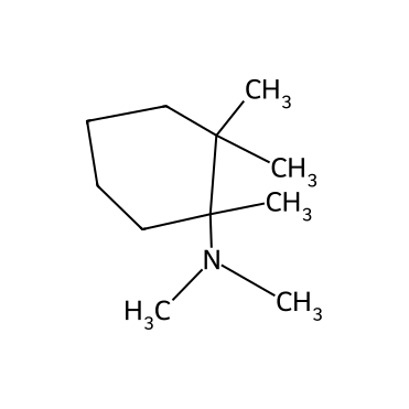 CN(C)C1(C)CCCCC1(C)C